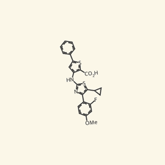 COc1ccc(-c2nc(Nc3cc(-c4ccccc4)sc3C(=O)O)sc2C2CC2)c(F)c1